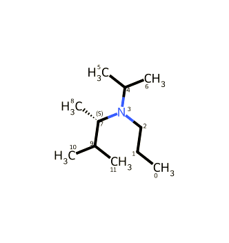 CCCN(C(C)C)[C@@H](C)C(C)C